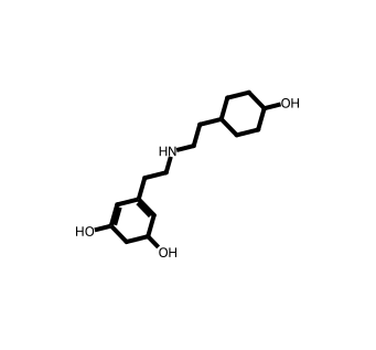 OC1=CC(CCNCCC2CCC(O)CC2)=CC(O)C1